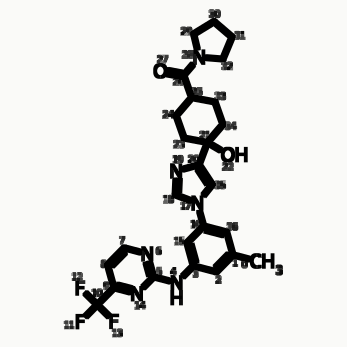 Cc1cc(Nc2nccc(C(F)(F)F)n2)cc(-n2cnc(C3(O)CCC(C(=O)N4CCCC4)CC3)c2)c1